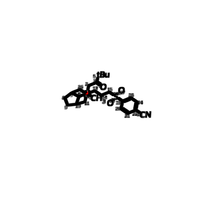 CN(CC(=O)C(C)(C)C)C1C2CCC1CN(CCCS(=O)(=O)c1ccc(C#N)cc1)C2